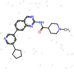 CN1CCC(C(=O)Nc2ncc3ccc(-c4cncc(C5CCCC5)c4)cc3n2)CC1